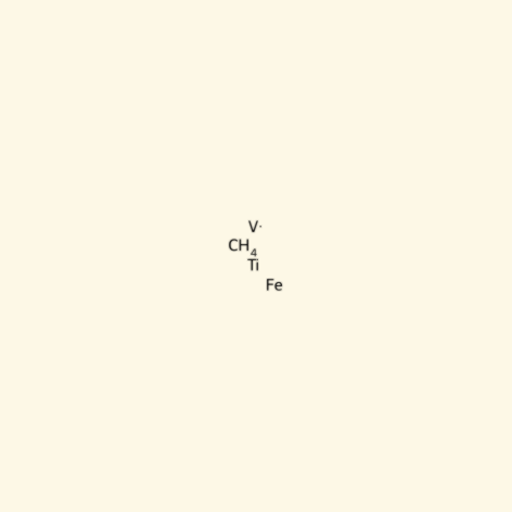 C.[Fe].[Ti].[V]